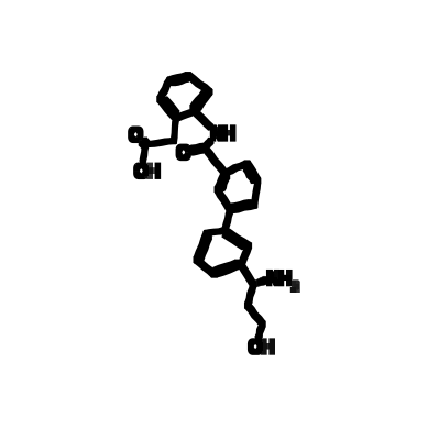 N[C@@H](CCO)c1cccc(-c2cccc(C(=O)Nc3ccccc3CC(=O)O)c2)c1